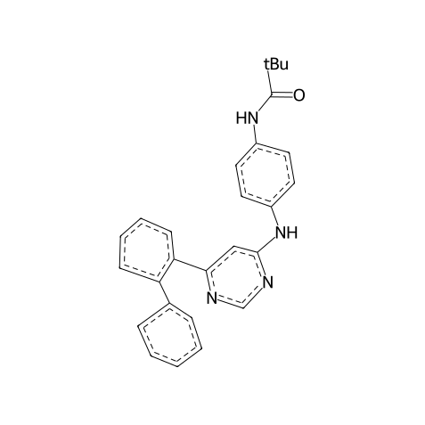 CC(C)(C)C(=O)Nc1ccc(Nc2cc(-c3ccccc3-c3ccccc3)ncn2)cc1